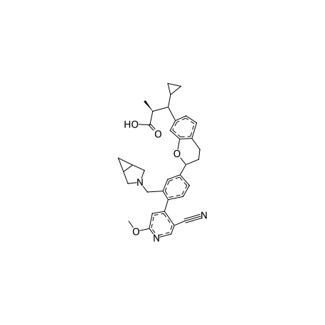 COc1cc(-c2ccc(C3CCc4ccc(C(C5CC5)[C@H](C)C(=O)O)cc4O3)cc2CN2CC3CC3C2)c(C#N)cn1